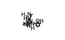 Cc1cccc(CNc2nc(NCC(C)N)nc3c2ncn3C(C)C)c1O